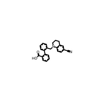 N#Cc1ccc2c(c1)CCCN2Cc1ccccc1-c1ccccc1C(=O)O